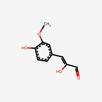 COc1cc(C=C(O)C=O)ccc1O